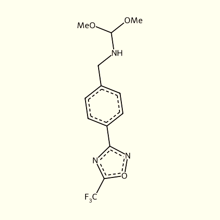 COC(NCc1ccc(-c2noc(C(F)(F)F)n2)cc1)OC